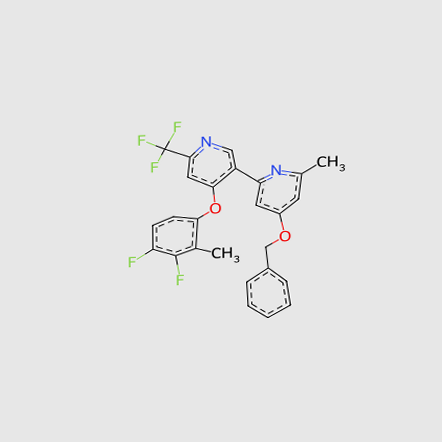 Cc1cc(OCc2ccccc2)cc(-c2cnc(C(F)(F)F)cc2Oc2ccc(F)c(F)c2C)n1